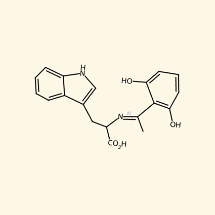 C/C(=N\C(Cc1c[nH]c2ccccc12)C(=O)O)c1c(O)cccc1O